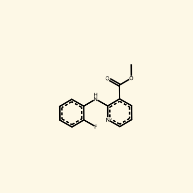 COC(=O)c1cccnc1Nc1ccccc1F